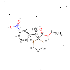 CCOC(=O)C1(C(C)c2cccc([N+](=O)[O-])c2)SCCCS1